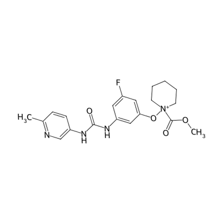 COC(=O)[N+]1(Oc2cc(F)cc(NC(=O)Nc3ccc(C)nc3)c2)CCCCC1